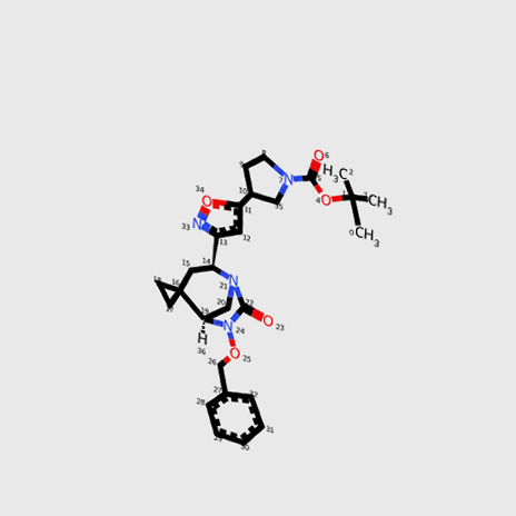 CC(C)(C)OC(=O)N1CCC(c2cc([C@@H]3CC4(CC4)[C@H]4CN3C(=O)N4OCc3ccccc3)no2)C1